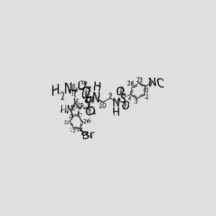 [C-]#[N+]c1ccc(S(=O)(=O)NCCNS(=O)(=O)c2c(C(N)=O)[nH]c3ccc(Br)cc23)cc1